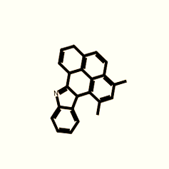 Cc1cc(C)c2ccc3c4c2c1C1C(=Nc2ccccc21)C4C=CC3